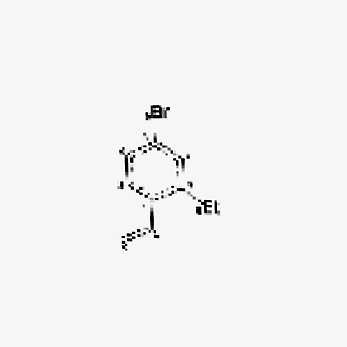 C=Cc1ccc(Br)cc1CC